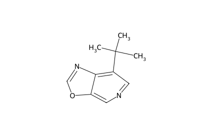 CC(C)(C)c1cncc2ocnc12